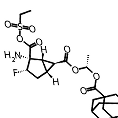 CCS(=O)(=O)OC(=O)[C@@]1(N)[C@H]2[C@@H](C[C@@H]1F)[C@@H]2C(=O)O[C@H](C)OC(=O)C12CC3CC(CC(C3)C1)C2